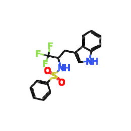 O=S(=O)(NC(Cc1c[nH]c2ccccc12)C(F)(F)F)c1ccccc1